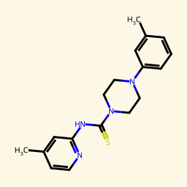 Cc1cccc(N2CCN(C(=S)Nc3cc(C)ccn3)CC2)c1